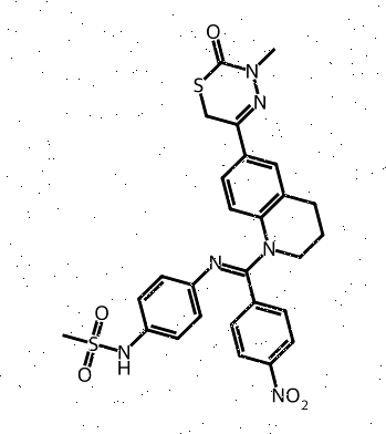 CN1N=C(c2ccc3c(c2)CCCN3C(=Nc2ccc(NS(C)(=O)=O)cc2)c2ccc([N+](=O)[O-])cc2)CSC1=O